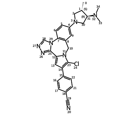 C[C@H]1CN(c2ccc3c(c2)Cn2c(cc(-c4ccc(C#N)cc4)c2Cl)-c2nncn2-3)C[C@@H]1N(C)C